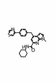 Cn1ccc2c(Cc3ccc(-c4cscn4)cc3)cc(C(=O)NC3CCCCC3)nc21